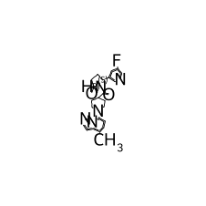 Cc1ccc(N2CCC3(CC2)O[C@@H]2CC[C@@H](c4cncc(F)c4)N2C3=O)n2nccc12